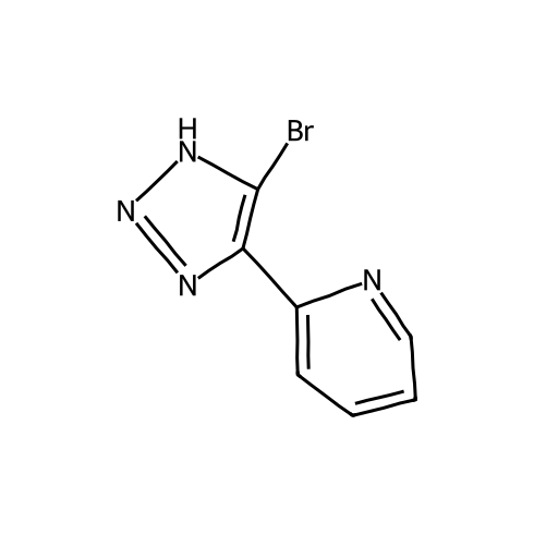 Brc1[nH]nnc1-c1ccccn1